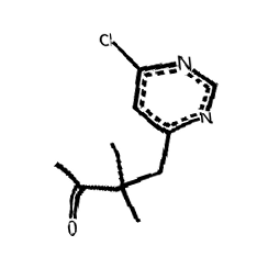 CC(=O)C(C)(C)Cc1cc(Cl)ncn1